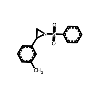 Cc1cccc(C2CN2S(=O)(=O)c2ccccc2)c1